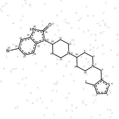 Cc1ccsc1CN1CCC(N2CCC(n3c(=O)[nH]c4cc(Br)ccc43)CC2)CC1